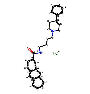 Cl.O=C(NCCCCN1CC=C(c2ccccc2)CC1)c1ccc2cc3ccccc3cc2c1